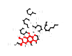 CC1C(O)[C@H](O[C@@H]2OC(CO)[C@H](O)[C@H](O[C@]3(C(=O)O)C[C@@H](O)[C@@H](N)C([C@@H](O)[C@H](O)CO)O3)C2O)[C@H](CO)O[C@H]1O[C@@H]1C(O)[C@H](O)C(CO)O[C@@H]1OCC1O[C@@H](O[C@@H]2C(CO)O[C@@H](O[C@@H]3C(CO)O[C@@H](C)[C@@H](C)C3O)[C@@H](C)C2O)[C@H](O)C(O[C@H]2O[C@H](CO)[C@@H](O)C(O)C2O[C@@H]2OC(CO)[C@@H](O)C(O)[C@@H]2C)[C@@H]1O